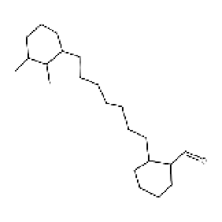 CC1CCCC(CCCCCCCC2CCCCC2C=O)C1C